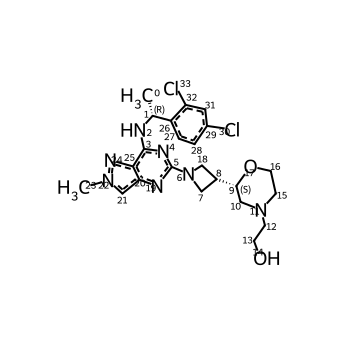 C[C@@H](Nc1nc(N2CC([C@H]3CN(CCO)CCO3)C2)nc2cn(C)nc12)c1ccc(Cl)cc1Cl